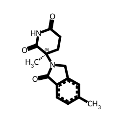 Cc1ccc2c(c1)CN([C@]1(C)CCC(=O)NC1=O)C2=O